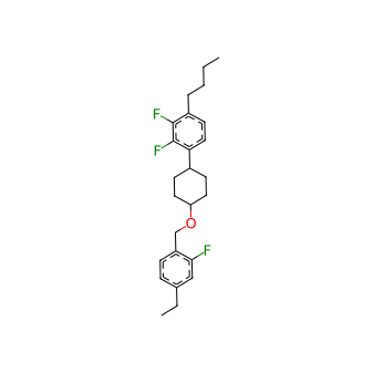 CCCCc1ccc(C2CCC(OCc3ccc(CC)cc3F)CC2)c(F)c1F